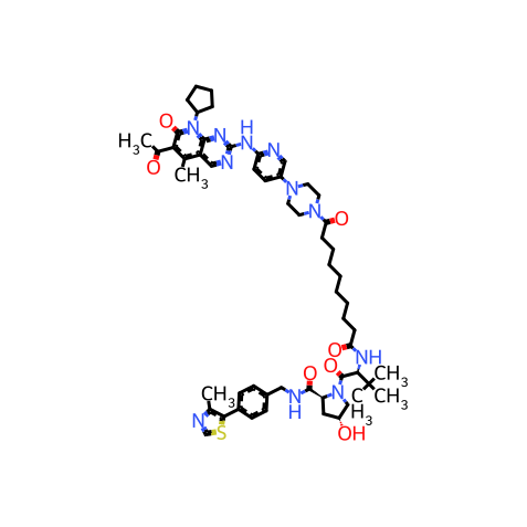 CC(=O)c1c(C)c2cnc(Nc3ccc(N4CCN(C(=O)CCCCCCCCC(=O)N[C@H](C(=O)N5C[C@H](O)C[C@H]5C(=O)NCc5ccc(-c6scnc6C)cc5)C(C)(C)C)CC4)cn3)nc2n(C2CCCC2)c1=O